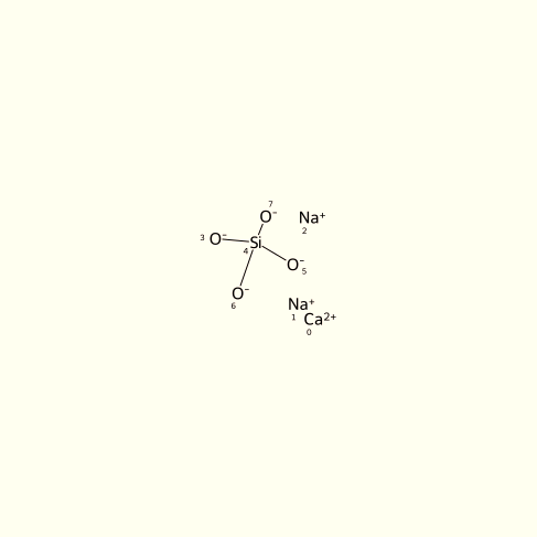 [Ca+2].[Na+].[Na+].[O-][Si]([O-])([O-])[O-]